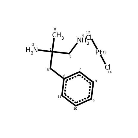 CC(N)(CN)Cc1ccccc1.[Cl][Pt][Cl]